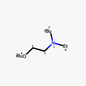 CCN(CCOCC(C)C)C(C)(C)C